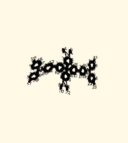 CCN(CC)c1ccc(C(c2ccc(-c3ccc(N(c4ccc(C)cc4)c4ccc(C)cc4)cc3)cc2)(c2ccc(-c3ccc(N(c4ccc(C)cc4)c4ccc(C)cc4)cc3)cc2)c2ccc(N(CC)CC)cc2)cc1